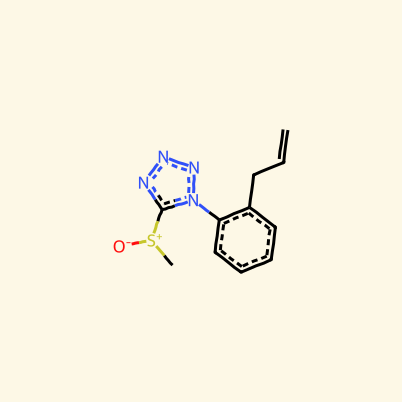 C=CCc1ccccc1-n1nnnc1[S+](C)[O-]